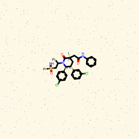 CC(C)C(CS(=N)(=O)C(C)C)N1C(=O)[C@@](C)(CC(=O)Nc2ccccc2)C[C@H](c2cccc(Cl)c2)[C@H]1c1ccc(Cl)cc1